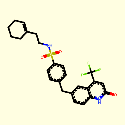 O=c1cc(C(F)(F)F)c2cc(Cc3ccc(S(=O)(=O)NCCC4=CCCCC4)cc3)ccc2[nH]1